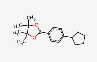 CC1(C)OB(c2ccc(C3CCCC3)cc2)OC1(C)C